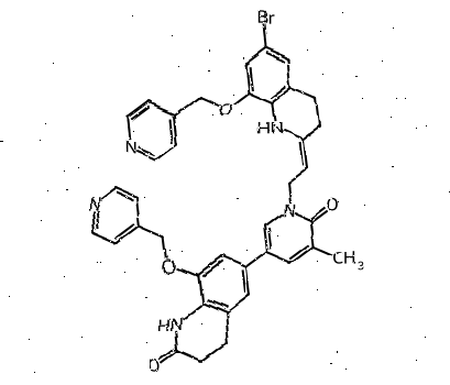 Cc1cc(-c2cc3c(c(OCc4ccncc4)c2)NC(=O)CC3)cn(C/C=C2/CCc3cc(Br)cc(OCc4ccncc4)c3N2)c1=O